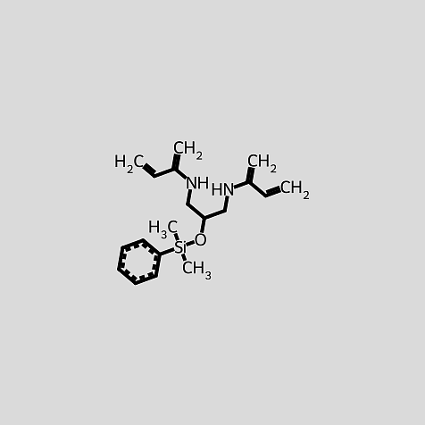 C=CC(=C)NCC(CNC(=C)C=C)O[Si](C)(C)c1ccccc1